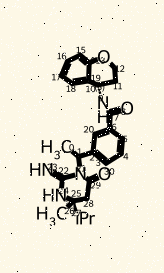 CC(c1cccc(C(=O)N[C@H]2CCOc3ccccc32)c1)N1C(=N)N[C@](C)(C(C)C)CC1=O